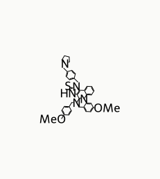 COc1ccc(CN(Cc2ccc(OC)cc2)c2nc3ccccc3c3c2[nH]c(=S)n3Cc2ccc(CN3CCCC3)cc2)cc1